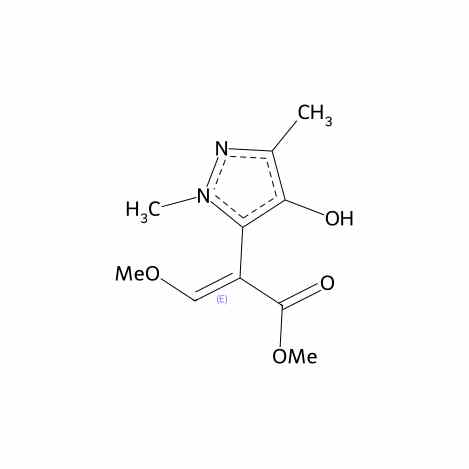 CO/C=C(/C(=O)OC)c1c(O)c(C)nn1C